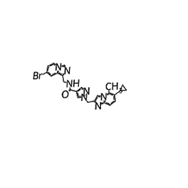 Cc1c(C2CC2)ccc2nc(Cn3cc(C(=O)NCc4ncn5ccc(Br)cc45)cn3)cn12